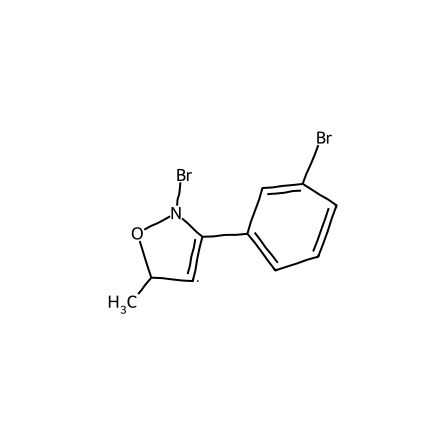 CC1[C]=C(c2cccc(Br)c2)N(Br)O1